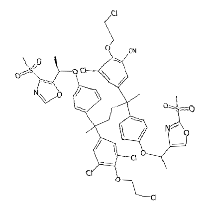 CC(Oc1ccc(C(C)(CCC(C)(c2ccc(O[C@H](C)c3ocnc3S(C)(=O)=O)cc2)c2cc(Cl)c(OCCCl)c(Cl)c2)c2cc(Cl)c(OCCCl)c(C#N)c2)cc1)c1coc(S(C)(=O)=O)n1